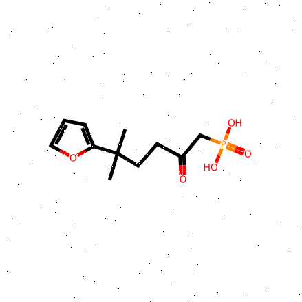 CC(C)(CCC(=O)CP(=O)(O)O)c1ccco1